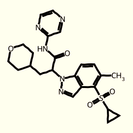 Cc1ccc2c(cnn2C(CC2CCOCC2)C(=O)Nc2cnccn2)c1S(=O)(=O)C1CC1